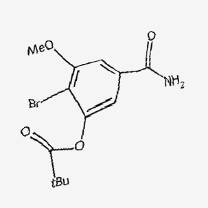 COc1cc(C(N)=O)cc(OC(=O)C(C)(C)C)c1Br